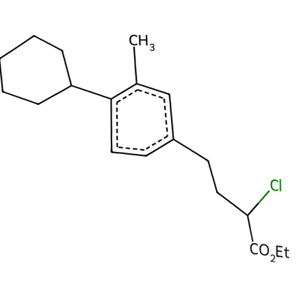 CCOC(=O)C(Cl)CCc1ccc(C2CCCCC2)c(C)c1